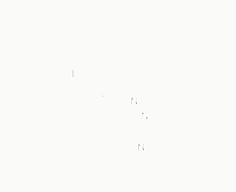 O=C(c1cc2ncccn2n1)c1ccccc1Cl